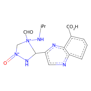 CC(C)N[N+]1(C=O)C[N+](=O)NC1c1cnc2cccc(C(=O)O)c2n1